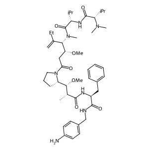 C=C(CC)[C@@H]([C@@H](CC(=O)N1CCC[C@H]1[C@H](OC)[C@@H](C)C(=O)N[C@@H](Cc1ccccc1)C(=O)NCc1ccc(N)cc1)OC)N(C)C(=O)[C@@H](NC(=O)[C@H](C(C)C)N(C)C)C(C)C